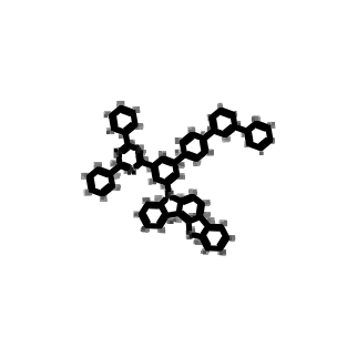 c1ccc(-c2cccc(-c3ccc(-c4cc(-c5nc(-c6ccccc6)nc(-c6ccccc6)n5)cc(-n5c6ccccc6c6c7sc8ccccc8c7ccc65)c4)cc3)c2)cc1